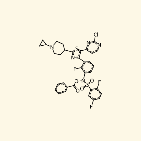 O=C(ON(c1cccc(-c2nc(C3CCN(C4CC4)CC3)sc2-c2ccnc(Cl)n2)c1F)S(=O)(=O)c1cc(F)ccc1F)c1ccccc1